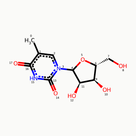 Cc1cn([C]2O[C@H](CO)[C@@H](O)[C@H]2O)c(=O)[nH]c1=O